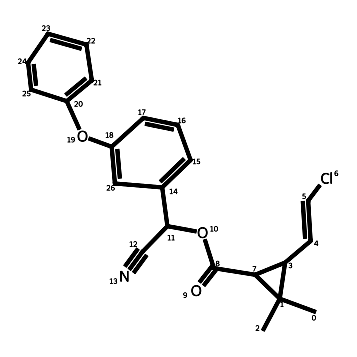 CC1(C)C(C=CCl)C1C(=O)OC(C#N)c1cccc(Oc2ccccc2)c1